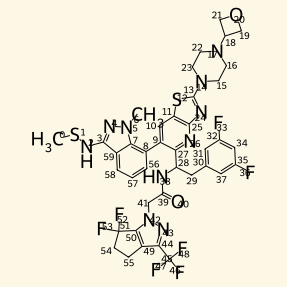 CSNc1nn(C)c2c(-c3cc4sc(N5CCN(C6COC6)CC5)nc4nc3C(Cc3cc(F)cc(F)c3)NC(=O)Cn3nc(C(F)(F)F)c4c3C(F)(F)CC4)cccc12